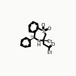 CCC(=O)C[C@@]1(CC)CS(=O)(=O)c2ccccc2[C@H](c2ccccc2)N1